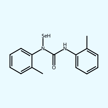 Cc1ccccc1NC(=O)N([SeH])c1ccccc1C